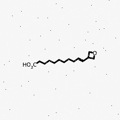 O=C(O)CCCCCCCCC=CC1COC1